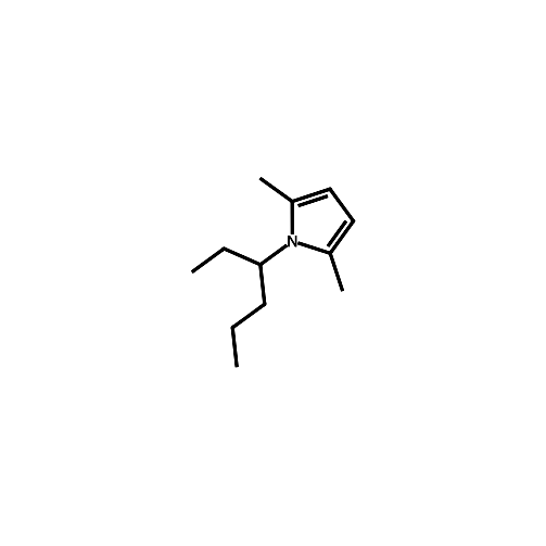 CCCC(CC)n1c(C)ccc1C